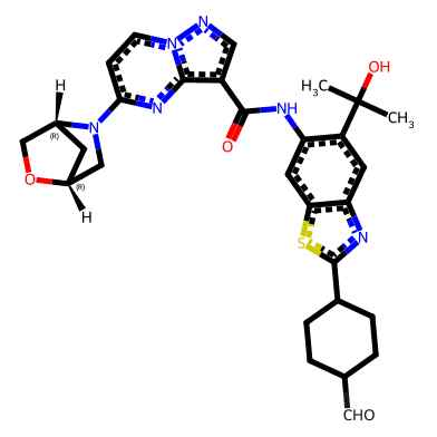 CC(C)(O)c1cc2nc(C3CCC(C=O)CC3)sc2cc1NC(=O)c1cnn2ccc(N3C[C@H]4C[C@@H]3CO4)nc12